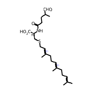 CC(C)=CCC/C(C)=C/CC/C(C)=C/CSC[C@H](NC(=O)CCC(C)C=O)C(=O)O